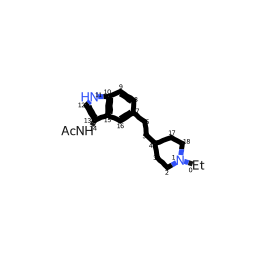 CCN1CCC(CCc2ccc3[nH]cc(NC(C)=O)c3c2)CC1